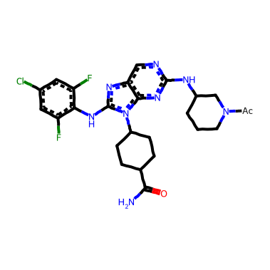 CC(=O)N1CCCC(Nc2ncc3nc(Nc4c(F)cc(Cl)cc4F)n(C4CCC(C(N)=O)CC4)c3n2)C1